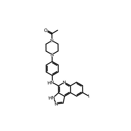 CC(=O)N1CCN(c2ccc(Nc3nc4ccc(I)cc4c4cn[nH]c34)cc2)CC1